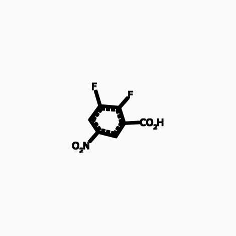 O=C(O)c1cc([N+](=O)[O-])cc(F)c1F